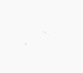 COc1ccc(C(=O)Nc2ccc(S(=O)(=O)N3CCC(O)CC3C)cc2)cc1C